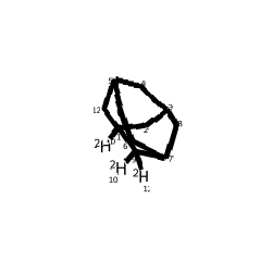 [2H]C12CC3CC(CC(C3)C1([2H])[2H])C2